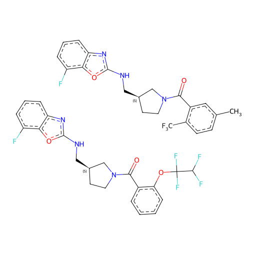 Cc1ccc(C(F)(F)F)c(C(=O)N2CC[C@@H](CNc3nc4cccc(F)c4o3)C2)c1.O=C(c1ccccc1OC(F)(F)C(F)F)N1CC[C@@H](CNc2nc3cccc(F)c3o2)C1